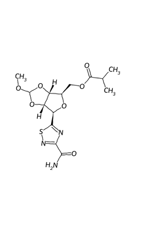 COC1O[C@@H]2[C@H](O1)[C@@H](COC(=O)C(C)C)O[C@H]2c1nc(C(N)=O)ns1